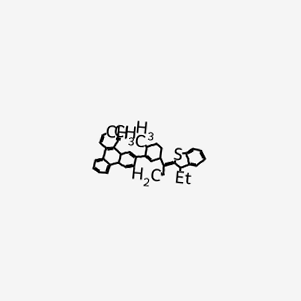 C#CC1=C(/C=C\C)c2ccccc2C2C=CC(C3=CC(/C(C=C)=C4\Sc5ccccc5C4CC)CCC3C)=CC12